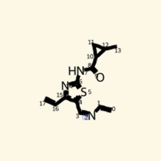 C=C/N=C\c1sc(NC(=O)C2CC2C)nc1C=C